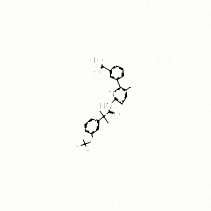 CC(C)(C(=O)Nc1ccc(F)c(-c2cccc(C(=O)O)c2)n1)c1ccc2c(c1)OC(F)(F)O2